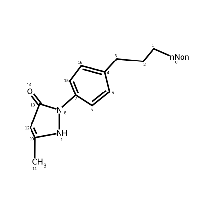 CCCCCCCCCCCCc1ccc(-n2[nH]c(C)cc2=O)cc1